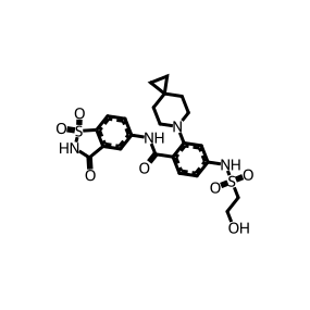 O=C(Nc1ccc2c(c1)C(=O)NS2(=O)=O)c1ccc(NS(=O)(=O)CCO)cc1N1CCC2(CC1)CC2